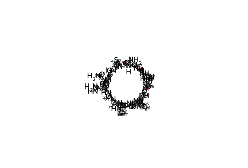 CCCC[C@H]1C(=O)N(C)[C@@H](CCCC)C(=O)N[C@@H](CCCNC(=N)N)C(=O)N[C@H](C(=O)NCC(N)=O)CSCC(=O)N[C@@H](Cc2cscn2)C(=O)N(C)[C@@H](C)C(=O)N[C@@H](CC(N)=O)C(=O)N2CCC[C@H]2C(=O)N[C@@H](Cc2cnc[nH]2)C(=O)N[C@@H](CC(C)C)C(=O)N(C)CC(=O)N[C@@H](Cc2c[nH]c3ccccc23)C(=O)N[C@@H](CO)C(=O)N[C@@H](Cc2c[nH]c3ccccc23)C(=O)N1C